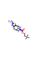 C[Si](C)(C)CCOC(=O)N1CC2Cc3nc(N)sc3C(C1)N2C#N